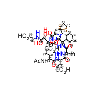 CCCC(N[C@@H](O)[C@@H]1CC2(CN1[C@H](O)C(NC(=O)C(NC(=O)C(CCC(=O)O)NC(=O)C(CCC(=O)O)NC(C)=O)C(C)C)C1CCCCC1)SCCS2)[C@@H](O)[C@H](O)NCC(=O)O